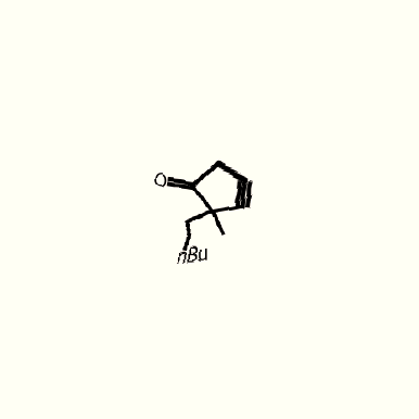 CCCCCC1(C)C#CCC1=O